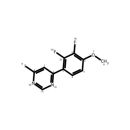 COc1ccc(-c2cc(I)ncn2)c(F)c1F